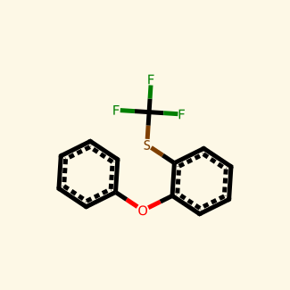 FC(F)(F)Sc1ccccc1Oc1ccccc1